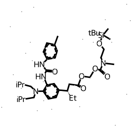 CC[C@@H](CC(=O)OCOC(=O)N(C)CCO[Si](C)(C)C(C)(C)C)c1ccc(N(CC(C)C)CC(C)C)c(NC(=O)Nc2ccc(C)cc2)c1